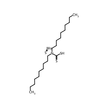 CCCCCCCCCCN(CCCCCCCCCC)C(=S)S.[S]=[Mo]